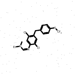 CCN(C)/C=N\c1cc(Cl)c(Cc2ccc(SC(F)(F)F)cc2)cc1Cl